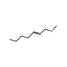 [CH2]OCC=CCCCC